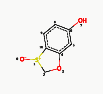 [O-][S+]1COc2cc(O)ccc21